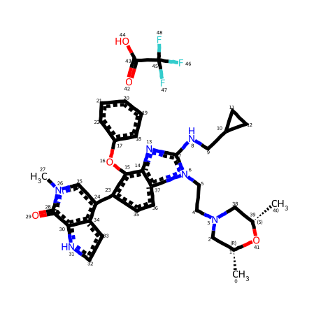 C[C@@H]1CN(CCn2c(NCC3CC3)nc3c(Oc4ccccc4)c(-c4cn(C)c(=O)c5[nH]ccc45)ccc32)C[C@H](C)O1.O=C(O)C(F)(F)F